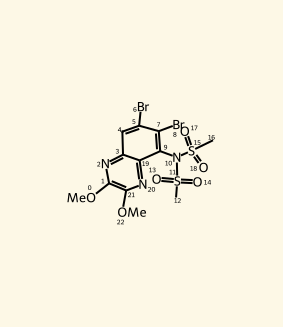 COc1nc2cc(Br)c(Br)c(N(S(C)(=O)=O)S(C)(=O)=O)c2nc1OC